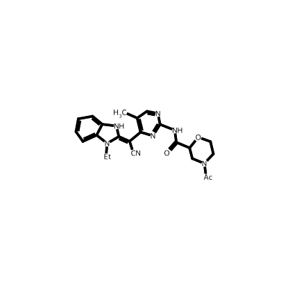 CCN1C(=C(C#N)c2nc(NC(=O)C3CN(C(C)=O)CCO3)ncc2C)Nc2ccccc21